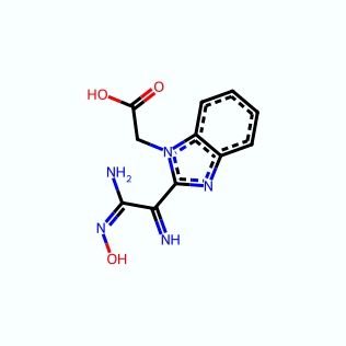 N=C(/C(N)=N\O)c1nc2ccccc2n1CC(=O)O